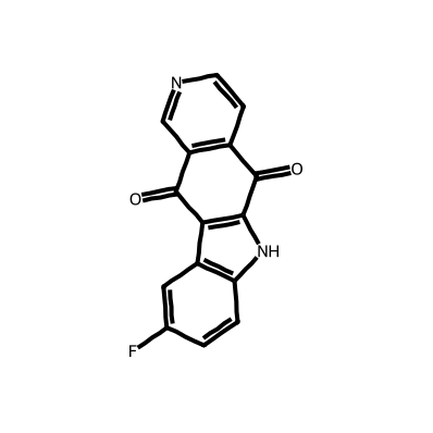 O=C1c2ccncc2C(=O)c2c1[nH]c1ccc(F)cc21